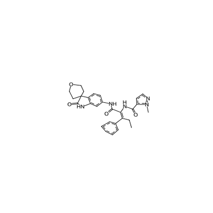 CCC(=C(NC(=O)c1ccnn1C)C(=O)Nc1ccc2c(c1)NC(=O)C21CCOCC1)c1ccccc1